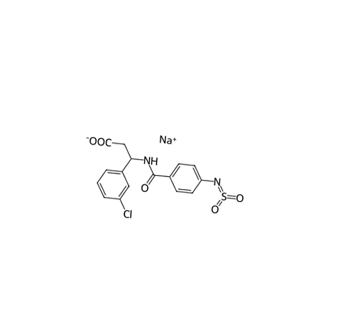 O=C([O-])CC(NC(=O)c1ccc(N=S(=O)=O)cc1)c1cccc(Cl)c1.[Na+]